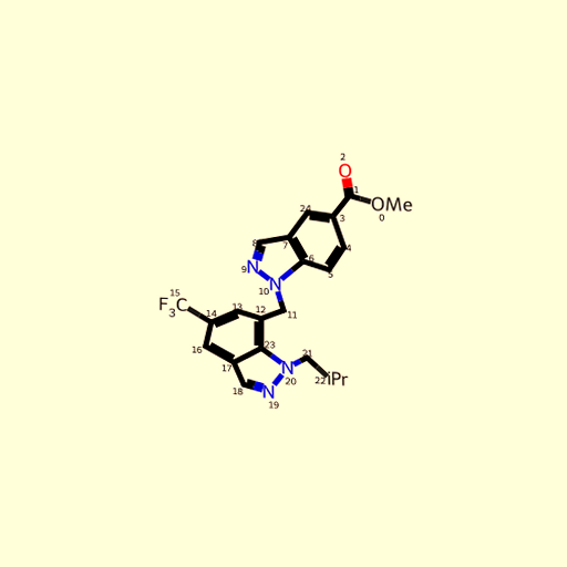 COC(=O)c1ccc2c(cnn2Cc2cc(C(F)(F)F)cc3cnn(CC(C)C)c23)c1